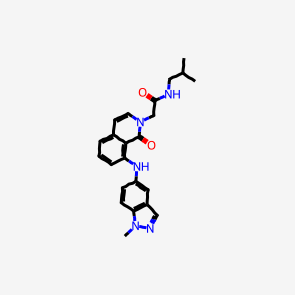 CC(C)CNC(=O)Cn1ccc2cccc(Nc3ccc4c(cnn4C)c3)c2c1=O